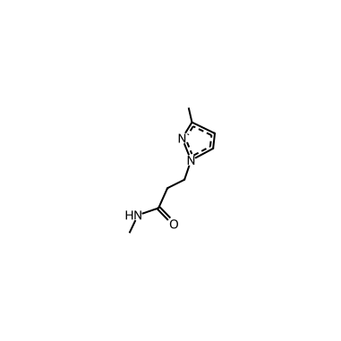 CNC(=O)CCn1ccc(C)n1